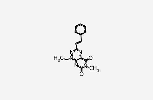 CCn1nc(C=Cc2ccccc2)nc2c(=O)n(C)c(=O)nc1-2